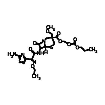 CCCOC(=O)OCOC(=O)C1(COC)CS[C@@H]2C(NC(=O)C(=NOCC)c3csc(N)n3)C(=O)N2C1